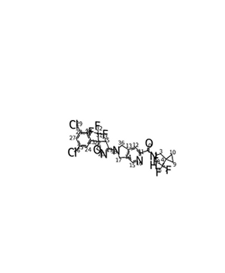 O=C(NCC1(C(F)(F)F)CC1)c1cc2c(cn1)CN(C1=NOC(c3cc(Cl)cc(Cl)c3)(C(F)(F)F)C1)C2